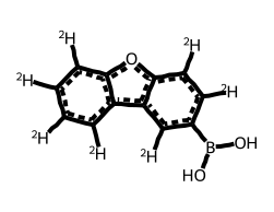 [2H]c1c([2H])c([2H])c2c(oc3c([2H])c([2H])c(B(O)O)c([2H])c32)c1[2H]